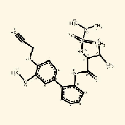 C#CCOc1ccc(-c2ccccc2NC(=O)[C@@H](NS(=O)(=O)N(C)C)C(C)C)cc1OC